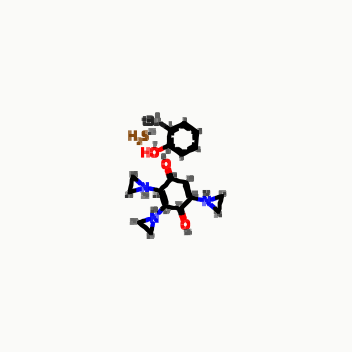 CC(C)(C)c1ccccc1O.O=C1C=C(N2CC2)C(=O)C(N2CC2)=C1N1CC1.S